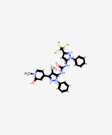 Cc1c(-c2ccn(C)c(=O)c2)nn(-c2ccccc2)c1NC(=O)Nc1cc(C(F)(F)F)nn1-c1ccccc1